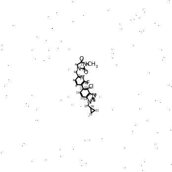 CN1C(=O)CN(Cc2ccc(-c3ccc4c(nnn4CC4CC4)c3Cl)c(F)n2)C1=O